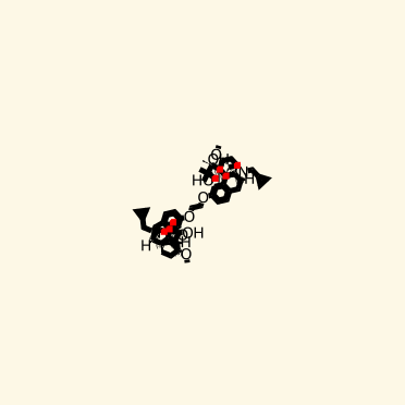 CO[C@@]12CC[C@@]3(C[C@@H]1[C@](C)(O)C(C)(C)C)[C@H]1Cc4ccc(OCCOc5ccc6c7c5OC5[C@]78CCN(CC7CC7)[C@H](C6)[C@]86CC[C@]5(OC)[C@@H]([C@](C)(O)C(C)(C)C)C6)c(O)c4[C@@]3(CCN1CC1CC1)C2